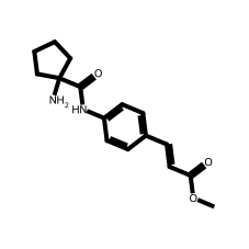 COC(=O)C=Cc1ccc(NC(=O)C2(N)CCCC2)cc1